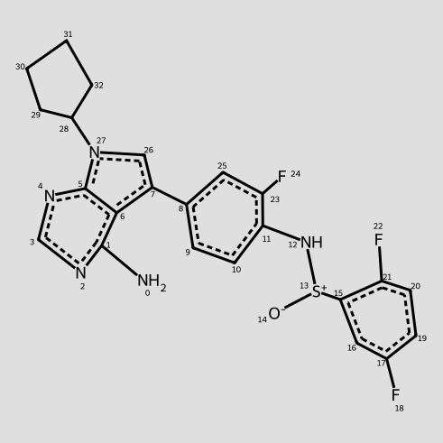 Nc1ncnc2c1c(-c1ccc(N[S+]([O-])c3cc(F)ccc3F)c(F)c1)cn2C1CCCC1